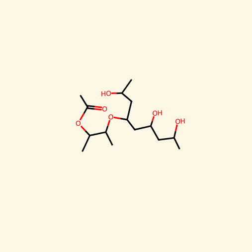 CC(=O)OC(C)C(C)OC(CC(C)O)CC(O)CC(C)O